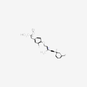 CCO[C@@H](Cc1ccc(OC/C=C(\C)C#CC2(F)C=CC=C(F)C2)c(I)c1)C(=O)O